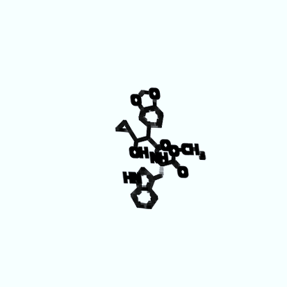 COC(=O)[C@H](Cc1c[nH]c2ccccc12)NC(=O)C(c1ccc2c(c1)OCO2)C(O)C1CC1